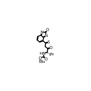 CC(C)[C@H](NC(=O)OC(C)(C)C)C(=O)CC(=S)c1cccc2c1=NC(=O)N=2